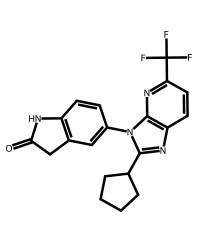 O=C1Cc2cc(-n3c(C4CCCC4)nc4ccc(C(F)(F)F)nc43)ccc2N1